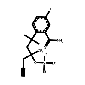 C#CCC(CC(C)(C)c1ccc(F)cc1C(N)=O)(O[Si](CC)(CC)CC)C(F)(F)F